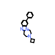 c1ccc(-c2ccc3nc4n(c3c2)CCN(C2CCC2)CC4)cc1